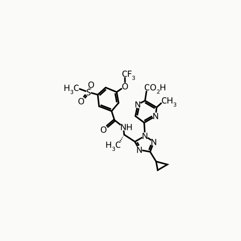 Cc1nc(-n2nc(C3CC3)nc2[C@H](C)NC(=O)c2cc(OC(F)(F)F)cc(S(C)(=O)=O)c2)cnc1C(=O)O